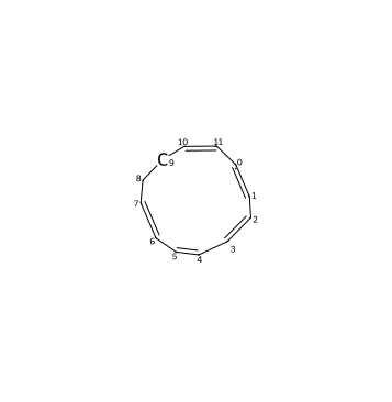 [C]1=CC=CC=CC=CCCC=C1